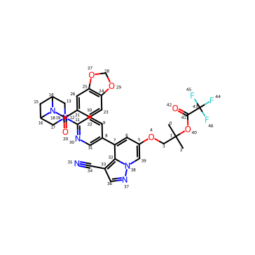 CC(C)(COc1cc(-c2ccc(N3CC4CC(C3)N4C(=O)c3ccc4c(c3)OCO4)nc2)c2c(C#N)cnn2c1)OC(=O)C(F)(F)F